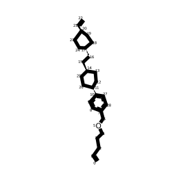 C=CCCCOCc1ccc([C@H]2CC[C@H](CC[C@H]3CC[C@H](C=C)CC3)CC2)cc1